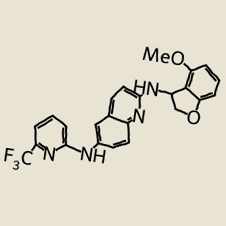 COc1cccc2c1C(Nc1ccc3cc(Nc4cccc(C(F)(F)F)n4)ccc3n1)CO2